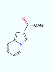 COC(=O)c1cc2ccccn2c1